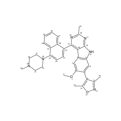 COc1cc2c(cc1-c1c(C)noc1C)[nH]c1nc(C)nc(-c3ccc(N4CCN(C)CC4)c4ccccc34)c12